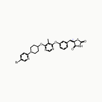 Cc1c(Oc2cccc(/C=C3/SC(=O)NC3=O)c2)ncnc1OC1CCN(c2ccc(Br)cn2)CC1